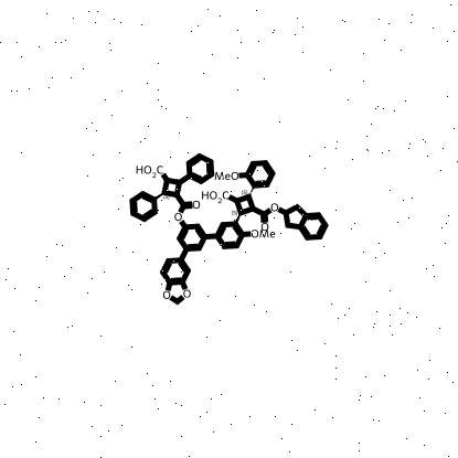 COc1ccccc1[C@H]1C(C(=O)O)[C@H](c2cc(-c3cc(OC(=O)C4C(c5ccccc5)C(C(=O)O)[C@@H]4c4ccccc4)cc(-c4ccc5c(c4)OCO5)c3)ccc2OC)C1C(=O)OC1Cc2ccccc2C1